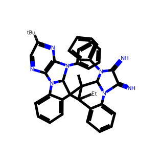 CCC12c3ccccc3N3C(=N)C(=N)N(c4ccccc4)C3C1(C)C21c2ccccc2N2c3ncc(C(C)(C)C)nc3N(c3ccccc3)C21